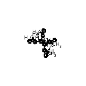 Cn1c2c(-c3ccc4c(c3)C(C)(C)c3ccccc3-4)cc(-c3ccc4c(c3)C(C)(C)c3ccccc3-4)cc2c2cc(-c3ccc4c(c3)C(C)(C)c3ccccc3-4)cc(-c3ccc4c(c3)C(C)(C)c3ccccc3-4)c21